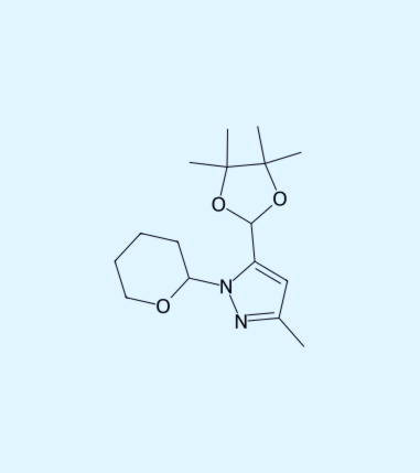 Cc1cc(C2OC(C)(C)C(C)(C)O2)n(C2CCCCO2)n1